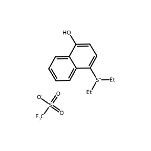 CC[S+](CC)c1ccc(O)c2ccccc12.O=S(=O)([O-])C(F)(F)F